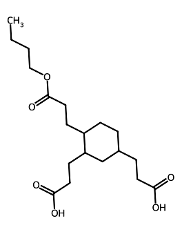 CCCCOC(=O)CCC1CCC(CCC(=O)O)CC1CCC(=O)O